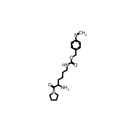 C=Nc1ccc(COC(=O)NCCCCC(N)C(=O)N2CCCC2)cc1